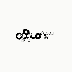 CC(C)CC(NC(=O)Cc1ccc(OC(C(=O)O)C(C)C)cc1)c1ccccc1N1CCCCC1